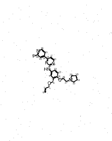 C=CCOCc1cc(Nc2nccc(-c3ccnc(F)c3)n2)ccc1OCCN1CCCC1